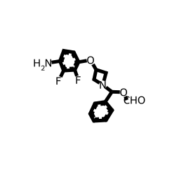 Nc1ccc(OC2CN(C(OC=O)c3ccccc3)C2)c(F)c1F